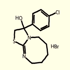 Br.OC1(c2ccc(Cl)cc2)CSC2=NCCCCCN21